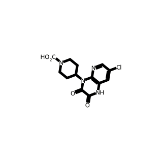 O=C(O)N1CCC(n2c(=O)c(=O)[nH]c3cc(Cl)cnc32)CC1